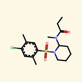 CCC(=O)N(C)C1CCCCN1S(=O)(=O)c1cc(C)c(Cl)cc1C